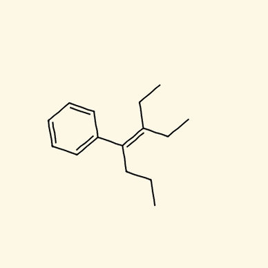 CCCC(=C(CC)CC)c1ccccc1